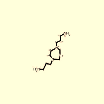 NCCCN1CCCN(CCCN)CC1